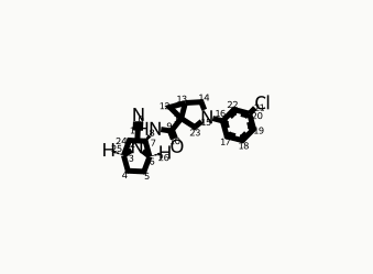 N#CN1[C@H]2CC[C@@H]1[C@H](NC(=O)C13CC1CN(c1cccc(Cl)c1)C3)C2